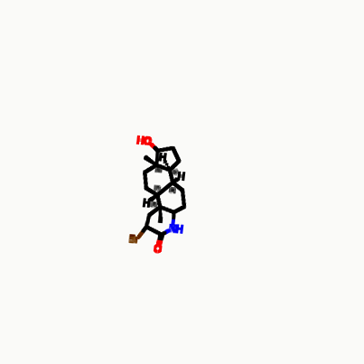 C[C@]12CC(Br)C(=O)NC1CC[C@@H]1[C@H]2CC[C@]2(C)C(O)CC[C@@H]12